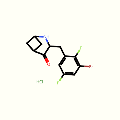 Cl.O=C1C2CC(C2)NC1Cc1cc(F)cc(Br)c1F